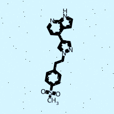 CS(=O)(=O)c1ccc(CCn2cc(-c3ccnc4[nH]ccc34)cn2)cc1